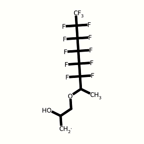 [CH2]C(O)COC(C)C(F)(F)C(F)(F)C(F)(F)C(F)(F)C(F)(F)C(F)(F)F